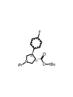 CC(C)N1C[C@@H](C(=O)OC(C)(C)C)[C@H](c2ccc(F)cc2)C1